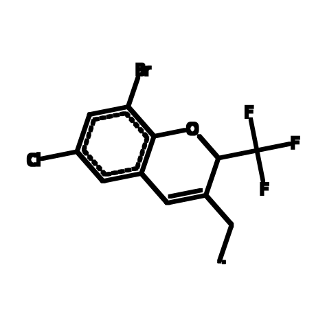 [CH2]CC1=Cc2cc(Cl)cc(Br)c2OC1C(F)(F)F